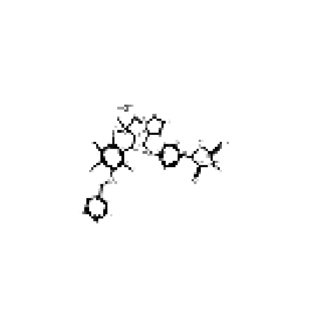 Cc1c(C)c2c(c(C)c1OCc1ccccc1)CCC(C)(CN1CCC[C@H]1COc1ccc(C3SC(=O)N(C)C3=O)cc1)O2.Cl